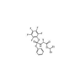 CCC(CC)OC(=O)[C@H](C)NP(=O)(Oc1ccccc1)Oc1c(F)c(F)c(F)c(F)c1F